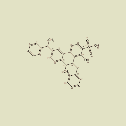 CC(c1ccccc1)c1ccc(C(C)C(Cc2ccccc2)c2cccc(S(=O)(=O)O)c2O)cc1